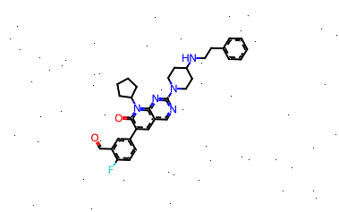 O=Cc1cc(-c2cc3cnc(N4CCC(NCCc5ccccc5)CC4)nc3n(C3CCCC3)c2=O)ccc1F